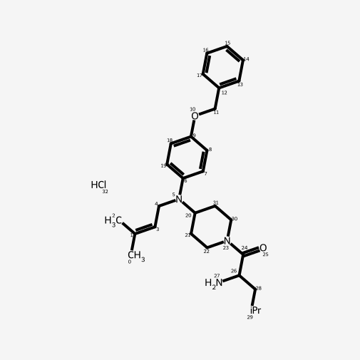 CC(C)=CCN(c1ccc(OCc2ccccc2)cc1)C1CCN(C(=O)C(N)CC(C)C)CC1.Cl